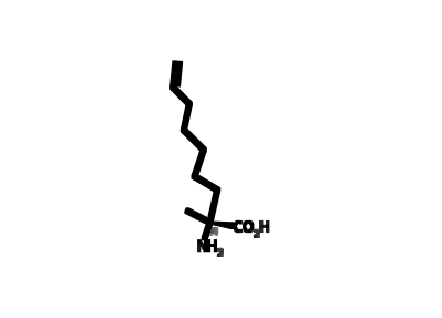 C=CCCCCC[C@@](C)(N)C(=O)O